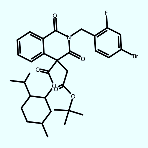 CC1CCC(C(C)C)C(OC(=O)C2(CC(=O)OC(C)(C)C)C(=O)N(Cc3ccc(Br)cc3F)C(=O)c3ccccc32)C1